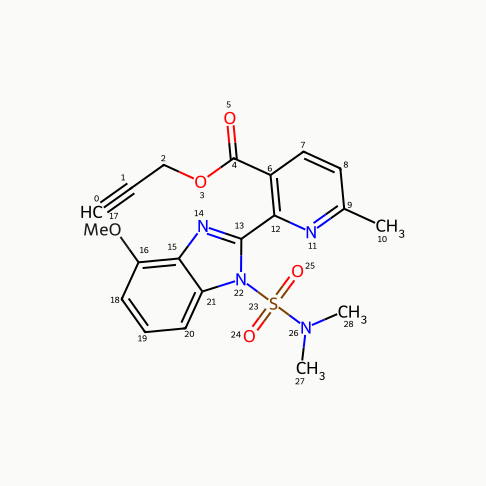 C#CCOC(=O)c1ccc(C)nc1-c1nc2c(OC)cccc2n1S(=O)(=O)N(C)C